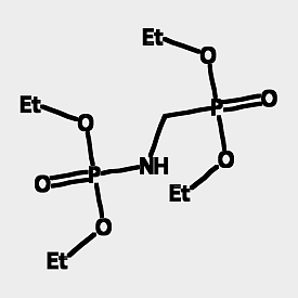 CCOP(=O)(CNP(=O)(OCC)OCC)OCC